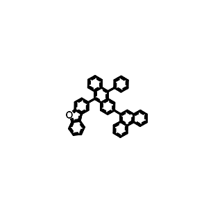 c1ccc(-c2c3ccccc3c(-c3ccc4oc5ccccc5c4c3)c3ccc(-c4cc5ccccc5c5ccccc45)cc23)cc1